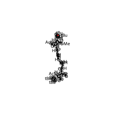 COC(=O)C1=C[C@H](N/C(=N/C(=O)OC(C)(C)C)NC(=O)OC(C)(C)C)[C@@H](NC(C)=O)[C@H]([C@H](OCC(=O)NCCN2C=C(CNCc3cn(CCNC(=O)CO[C@@H]([C@@H]4OC(C(=O)OC)=C[C@H](N/C(=N/C(=O)OC(C)(C)C)NC(=O)OC(C)(C)C)[C@H]4NC(C)=O)[C@H]4COC(=O)O4)nn3)NN2)[C@H]2COC(=O)O2)O1